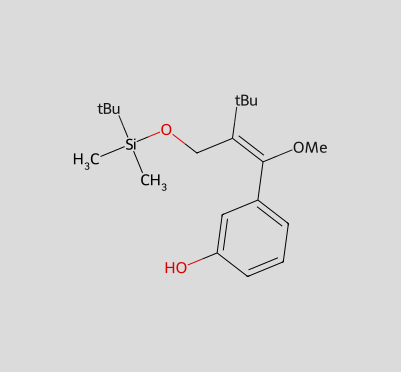 COC(=C(CO[Si](C)(C)C(C)(C)C)C(C)(C)C)c1cccc(O)c1